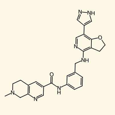 CN1CCc2cc(C(=O)Nc3cccc(CNc4ncc(-c5cn[nH]c5)c5c4CCO5)c3)cnc2C1